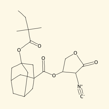 [C-]#[N+]C1C(=O)OCC1OC(=O)C12CC3CC(CC(OC(=O)C(C)(C)CC)(C3)C1)C2